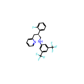 Fc1ccccc1[C@@H](CNc1cc(C(F)(F)F)cc(C(F)(F)F)c1)Cc1ccccn1